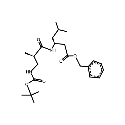 CC(C)C[C@@H](CC(=O)OCc1ccccc1)NC(=O)[C@H](C)CNC(=O)OC(C)(C)C